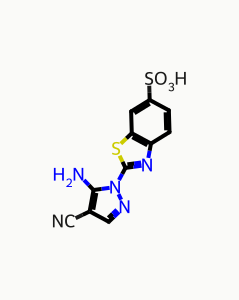 N#Cc1cnn(-c2nc3ccc(S(=O)(=O)O)cc3s2)c1N